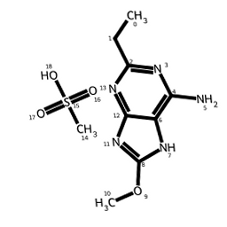 CCc1nc(N)c2[nH]c(OC)nc2n1.CS(=O)(=O)O